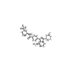 CN1CCSC(c2nc(-c3ccc(C(=O)Nc4cc(C(F)(F)F)ccn4)cc3)c3c(N)nccn23)C1